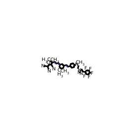 CN(CCn1cc(-c2c(F)c(F)c(F)c(F)c2F)nn1)c1ccc(/C=C/C2=CC(=C/C=C/C3=C(C#N)C(=C(C#N)C#N)OC3(C)C)/CC(C)(C)C2)cc1